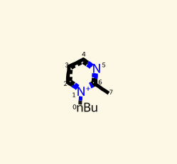 CCCC[n+]1cccnc1C